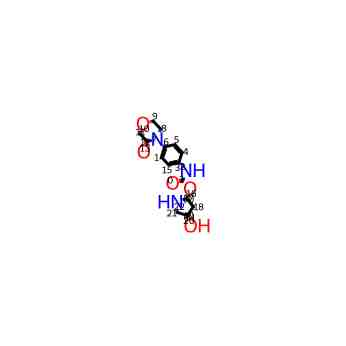 O=C(Nc1ccc(N2CCOCC2=O)cc1)O[C@@H]1C[C@@H](O)CN1